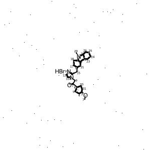 Br.COc1ccc(C(=O)Cn2ccnc2Cc2ccc3c(c2)c2ccccc2n3C)cc1